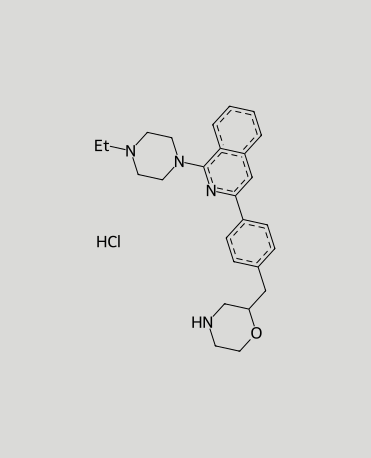 CCN1CCN(c2nc(-c3ccc(CC4CNCCO4)cc3)cc3ccccc23)CC1.Cl